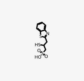 O=S(=O)(O)CC(S)Cc1nc2ccccc2s1